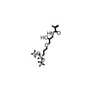 C=C(C)C(=O)NCC(O)COCCC[Si](C)(O[Si](C)(C)C)O[Si](C)(C)C